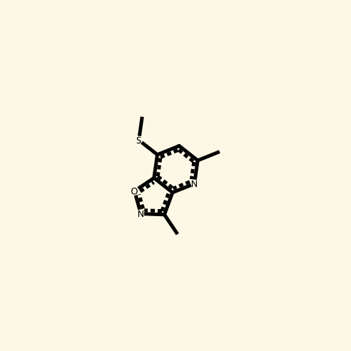 CSc1cc(C)nc2c(C)noc12